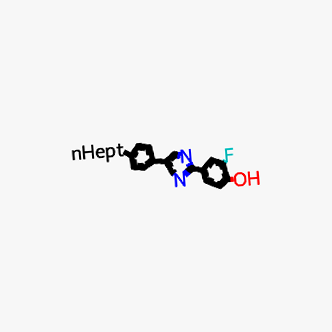 CCCCCCCc1ccc(-c2cnc(-c3ccc(O)c(F)c3)nc2)cc1